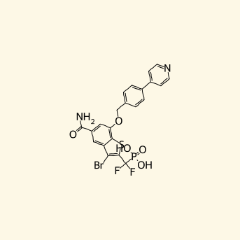 NC(=O)c1cc(OCc2ccc(-c3ccncc3)cc2)c2sc(C(F)(F)P(=O)(O)O)c(Br)c2c1